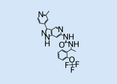 Cc1cc(-c2n[nH]c3cc(NC(=O)NC(C)c4ccccc4OC(F)(F)F)ncc23)ccn1